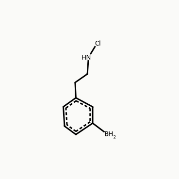 Bc1cccc(CCNCl)c1